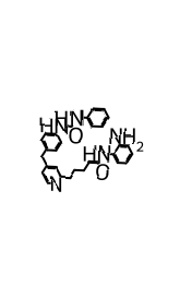 Nc1ccccc1NC(=O)CCCCc1cc(Cc2ccc(NC(=O)Nc3ccccc3)cc2)ccn1